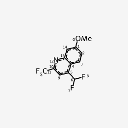 COc1ccc2c(C(F)F)cc(C(F)(F)F)nc2c1